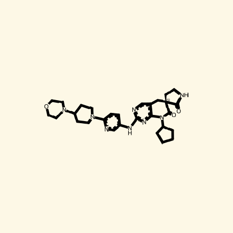 O=C1NCC[C@@]12Cc1cnc(Nc3ccc(N4CCC(N5CCOCC5)CC4)nc3)nc1N(C1CCCC1)C2=O